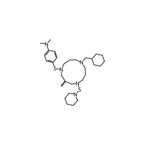 C=C1CN(Sc2ccc(N(C)C)cc2)CCCN(CC2CCCCC2)CCCN(SN2CCCCC2)C1